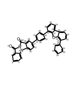 O=c1c2ccccc2n2c3ccc(-c4ccc(-c5cccc6c5oc5c(-c7ccccc7)cccc56)cc4)cc3c(=O)n12